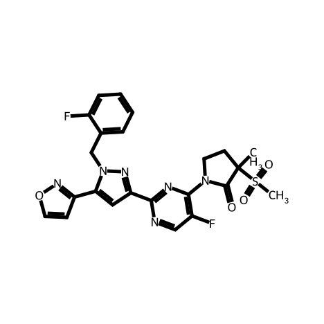 CC1(S(C)(=O)=O)CCN(c2nc(-c3cc(-c4ccon4)n(Cc4ccccc4F)n3)ncc2F)C1=O